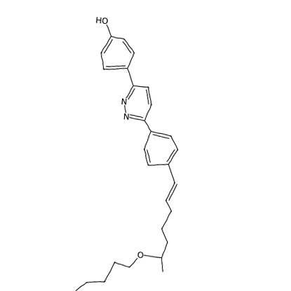 CCCCCOC(C)CCCC=Cc1ccc(-c2ccc(-c3ccc(O)cc3)nn2)cc1